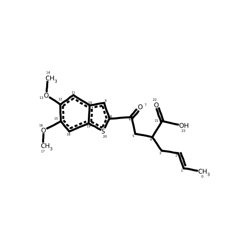 CC=CCC(CC(=O)c1cc2cc(OC)c(OC)cc2s1)C(=O)O